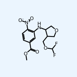 COC(=O)c1ccc([N+](=O)[O-])c(NC2COCC2COC(F)F)c1